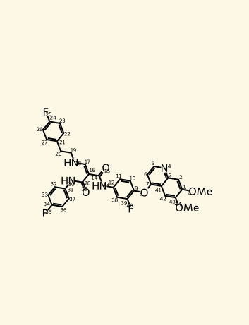 COc1cc2nccc(Oc3ccc(NC(=O)/C(=C/NCCc4ccc(F)cc4)C(=O)Nc4ccc(F)cc4)cc3F)c2cc1OC